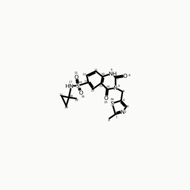 Cc1ncc(Cn2c(=O)[nH]c3ccc(S(=O)(=O)NC4(C)CC4)cc3c2=O)s1